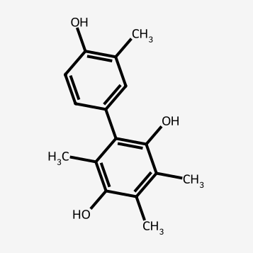 Cc1cc(-c2c(C)c(O)c(C)c(C)c2O)ccc1O